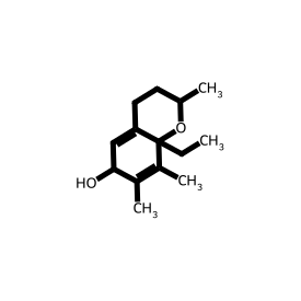 CCC12OC(C)CCC1=CC(O)C(C)=C2C